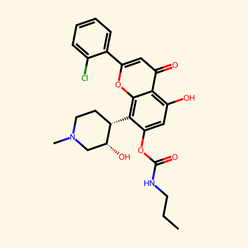 CCCNC(=O)Oc1cc(O)c2c(=O)cc(-c3ccccc3Cl)oc2c1[C@H]1CCN(C)C[C@H]1O